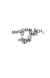 COc1ccc(CCNc2nccc(-n3ccc4cc(C(=O)NCCN(C)C)ccc43)n2)cc1OC